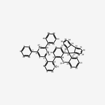 c1ccc(-c2cc(-c3cccnc3-c3cccc4c3Sc3ccccc3C43c4ccccc4-c4ccccc43)nc(-c3ccccc3)n2)cc1